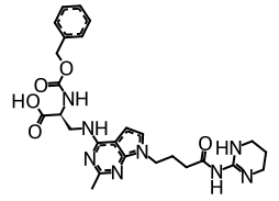 Cc1nc(NC[C@H](NC(=O)OCc2ccccc2)C(=O)O)c2ccn(CCCC(=O)NC3=NCCCN3)c2n1